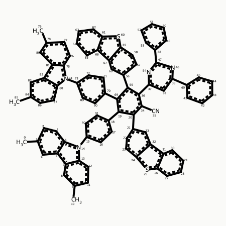 Cc1ccc2c(c1)c1cc(C)ccc1n2-c1ccc(-c2c(-c3ccc4sc5ccccc5c4c3)c(C#N)c(-c3cc(-c4ccccc4)nc(-c4ccccc4)n3)c(-c3ccc4sc5ccccc5c4c3)c2-c2ccc(-n3c4ccc(C)cc4c4cc(C)ccc43)cc2)cc1